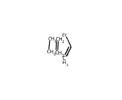 C=C.C=CCC.CC